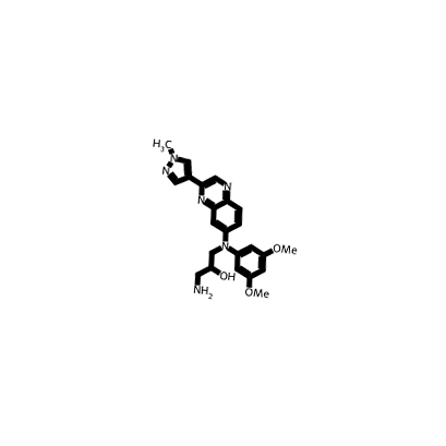 COc1cc(OC)cc(N(CC(O)CN)c2ccc3ncc(-c4cnn(C)c4)nc3c2)c1